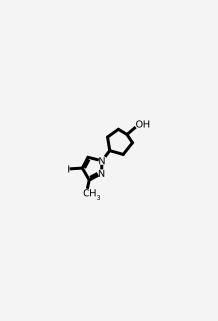 Cc1nn(C2CCC(O)CC2)cc1I